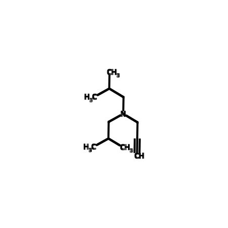 C#CCN(CC(C)C)CC(C)C